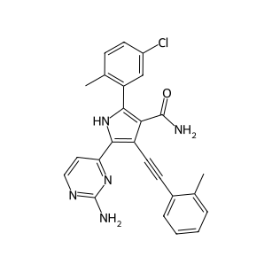 Cc1ccccc1C#Cc1c(-c2ccnc(N)n2)[nH]c(-c2cc(Cl)ccc2C)c1C(N)=O